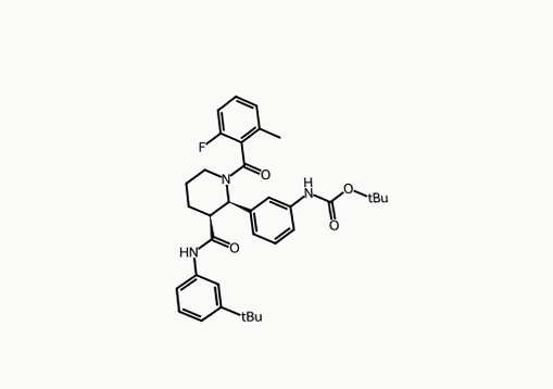 Cc1cccc(F)c1C(=O)N1CCC[C@H](C(=O)Nc2cccc(C(C)(C)C)c2)[C@@H]1c1cccc(NC(=O)OC(C)(C)C)c1